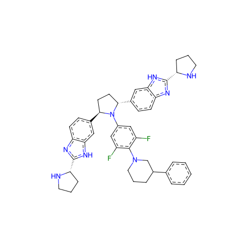 Fc1cc(N2[C@@H](c3ccc4nc([C@@H]5CCCN5)[nH]c4c3)CC[C@@H]2c2ccc3nc([C@@H]4CCCN4)[nH]c3c2)cc(F)c1N1CCCC(c2ccccc2)C1